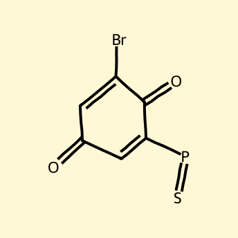 O=C1C=C(Br)C(=O)C(P=S)=C1